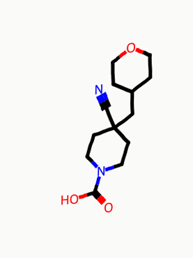 N#CC1(CC2CCOCC2)CCN(C(=O)O)CC1